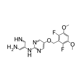 COc1cc(OC)c(F)c(COc2cnc(N/C(C=N)=C/N)nc2)c1F